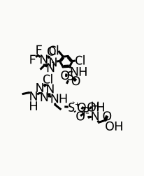 CCNc1nc(Cl)nc(NCC)n1.C[S+](C)C.Cc1nn(-c2cc(NS(C)(=O)=O)c(Cl)cc2Cl)c(=O)n1C(F)F.O=C(O)CNCP(=O)([O-])O